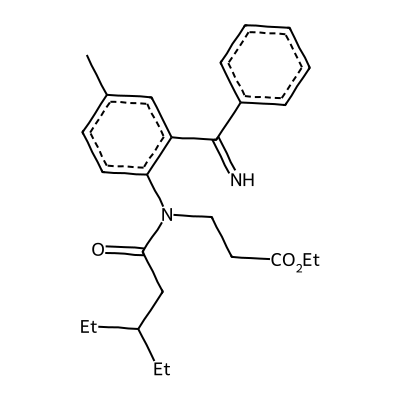 CCOC(=O)CCN(C(=O)CC(CC)CC)c1ccc(C)cc1C(=N)c1ccccc1